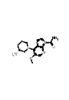 COc1cnc2c([c]cn2C(N)=O)c1N1CCC[C@@H](N)C1